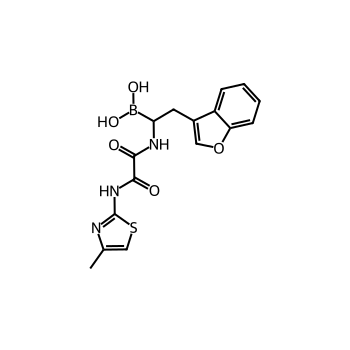 Cc1csc(NC(=O)C(=O)NC(Cc2coc3ccccc23)B(O)O)n1